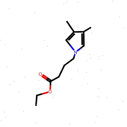 CCOC(=O)CCCn1cc(C)c(C)c1